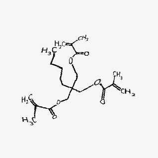 C=C(C)C(=O)OCC(CCCC)(COC(=O)C(=C)C)COC(=O)C(=C)C